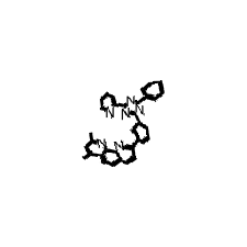 Cc1cc(C)c2ccc3ccc(-c4cccc(-c5nc(-c6ccccc6)nc(-c6ccccn6)n5)c4)nc3c2n1